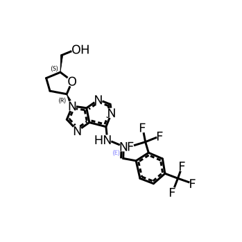 OC[C@@H]1CC[C@H](n2cnc3c(N/N=C/c4ccc(C(F)(F)F)cc4C(F)(F)F)ncnc32)O1